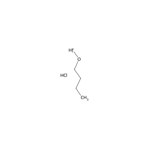 CCCC[O][Hf].Cl